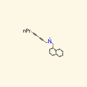 CCCC#CC#CCN(C)Cc1cccc2ccccc12